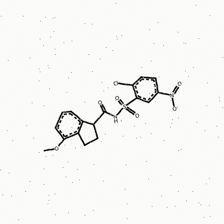 COc1cccc2c1CCC2C(=O)NS(=O)(=O)c1cc([N+](=O)[O-])ccc1Cl